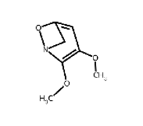 COC1=C(OC)N2CC(=C1)O2